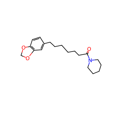 O=C(CCCCCCc1ccc2c(c1)OCO2)N1CCCCC1